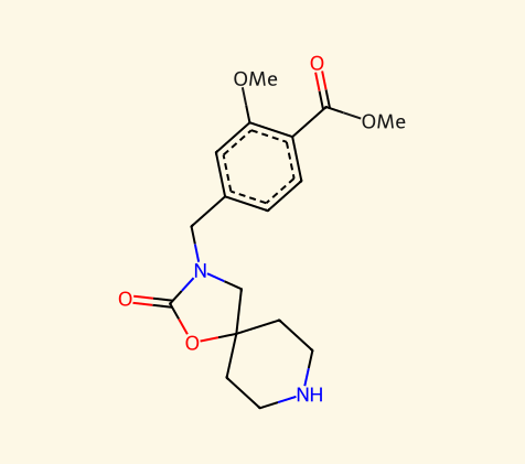 COC(=O)c1ccc(CN2CC3(CCNCC3)OC2=O)cc1OC